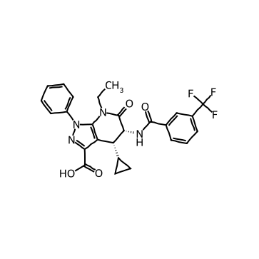 CCN1C(=O)[C@H](NC(=O)c2cccc(C(F)(F)F)c2)[C@H](C2CC2)c2c(C(=O)O)nn(-c3ccccc3)c21